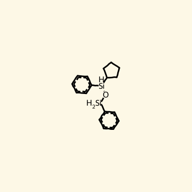 c1ccc([SiH2]O[SiH](c2ccccc2)C2CCCC2)cc1